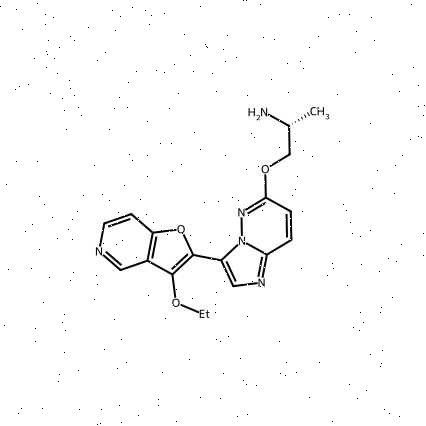 CCOc1c(-c2cnc3ccc(OC[C@@H](C)N)nn23)oc2ccncc12